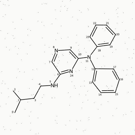 CC(C)CCNc1cncc(N(c2ccccc2)c2ccccc2)n1